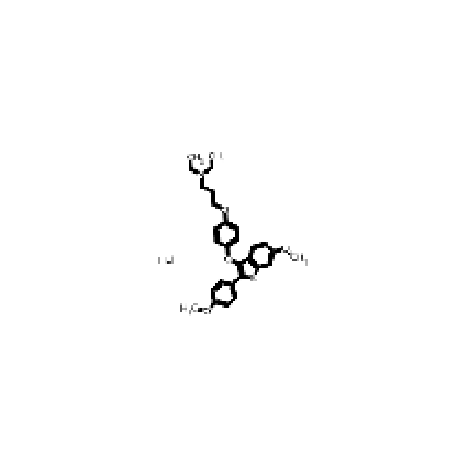 CCN(CC)CCCOc1ccc(Oc2c(-c3ccc(OC)cc3)sc3cc(OC)ccc23)cc1.Cl